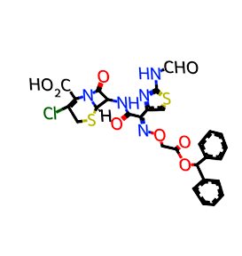 O=CNc1nc(/C(=N\OCC(=O)OC(c2ccccc2)c2ccccc2)C(=O)NC2C(=O)N3C(C(=O)O)=C(Cl)CS[C@H]23)cs1